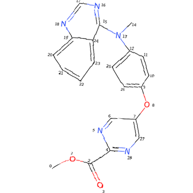 COC(=O)c1ncc(Oc2ccc(N(C)c3ncnc4ccccc34)cc2)cn1